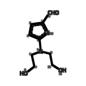 O=Cc1ccc(N(CCO)CCO)s1